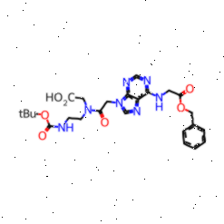 CC(C)(C)OC(=O)NCCN(CC(=O)O)C(=O)Cn1cnc2c(NCC(=O)OCc3ccccc3)ncnc21